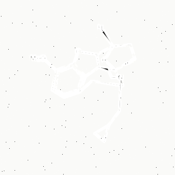 COc1ccc2c3c1OC1[C@@H]4CC[C@]5(O4)C(C2)N(CC2CC2)CC[C@@]315